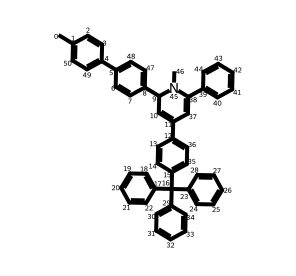 Cc1ccc(-c2ccc(C3C=C(c4ccc(C(c5ccccc5)(c5ccccc5)c5ccccc5)cc4)C=C(c4ccccc4)N3C)cc2)cc1